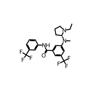 CCN1CCC[C@@H]1N(C)c1cc(C(=O)Nc2cccc(C(F)(F)F)c2)cc(C(F)(F)F)c1